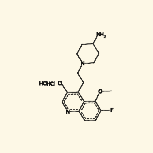 COc1c(F)ccc2ncc(Cl)c(CCN3CCC(N)CC3)c12.Cl.Cl